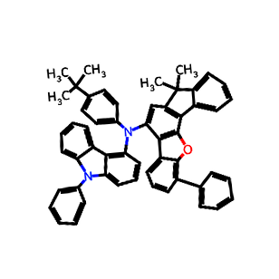 CC(C)(C)c1ccc(N(c2cc3c(c4oc5c(-c6ccccc6)cccc5c24)-c2ccccc2C3(C)C)c2cccc3c2c2ccccc2n3-c2ccccc2)cc1